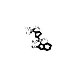 CC1=Cc2ccccc2C1[Si](C)(C)C1=CC([Si](C)(C)C)=CC1